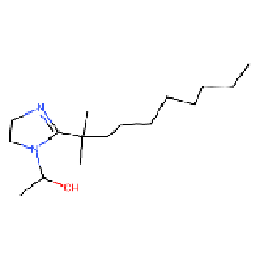 CCCCCCCCC(C)(C)C1=NCCN1C(C)O